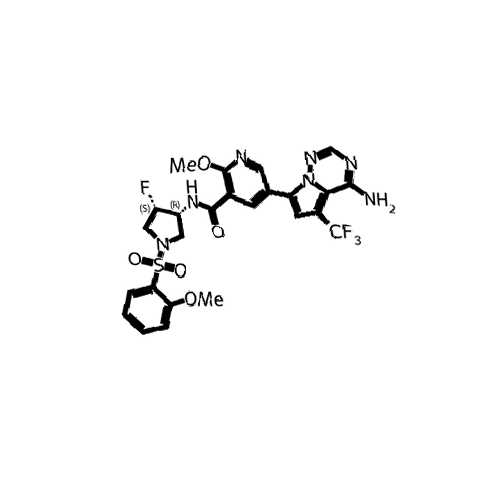 COc1ccccc1S(=O)(=O)N1C[C@H](F)[C@H](NC(=O)c2cc(-c3cc(C(F)(F)F)c4c(N)ncnn34)cnc2OC)C1